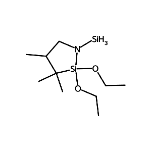 CCO[Si]1(OCC)N([SiH3])CC(C)C1(C)C